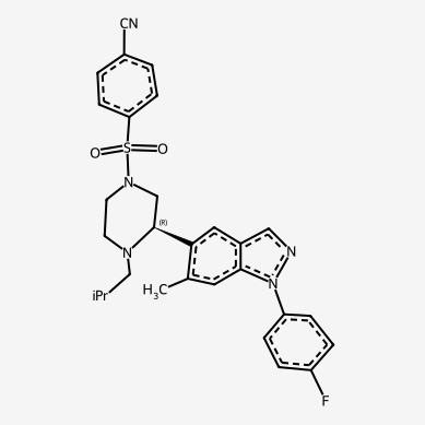 Cc1cc2c(cnn2-c2ccc(F)cc2)cc1[C@@H]1CN(S(=O)(=O)c2ccc(C#N)cc2)CCN1CC(C)C